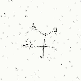 CCC(CC)C(C)(C)C(=O)O